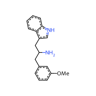 COc1cccc(CC(N)Cc2c[nH]c3ccccc23)c1